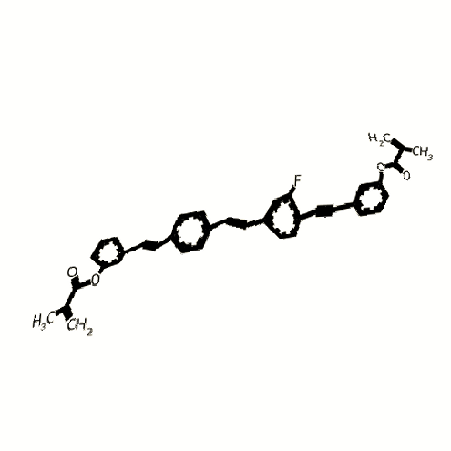 C=C(C)C(=O)Oc1cccc(C#Cc2ccc(C#Cc3ccc(C#Cc4cccc(OC(=O)C(=C)C)c4)c(F)c3)cc2)c1